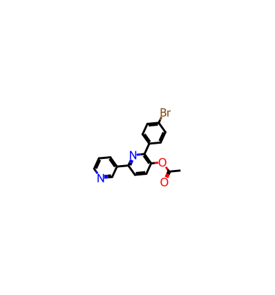 CC(=O)Oc1ccc(-c2cccnc2)nc1-c1ccc(Br)cc1